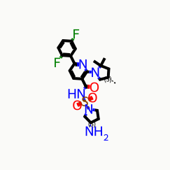 C[C@@H]1CN(c2nc(-c3cc(F)ccc3F)ccc2C(=O)NS(=O)(=O)N2CC[C@H](N)C2)C(C)(C)C1